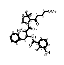 COCCCC(=O)C1N(C(=O)C(O)C(Cc2ccccc2)NC(=O)c2cccc(O)c2C)CSC1(C)C